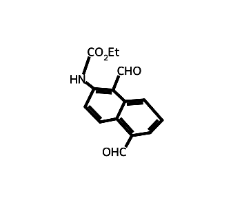 CCOC(=O)Nc1ccc2c(C=O)cccc2c1C=O